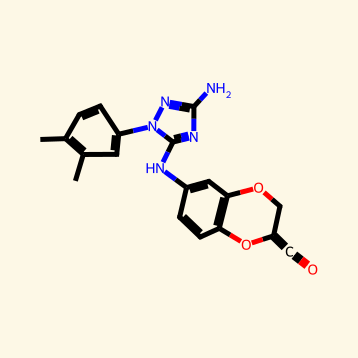 Cc1ccc(-n2nc(N)nc2Nc2ccc3c(c2)OCC(=C=O)O3)cc1C